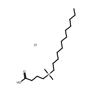 CCCCCCCCCCCC[N+](C)(C)CCCC(=O)O.[Cl-]